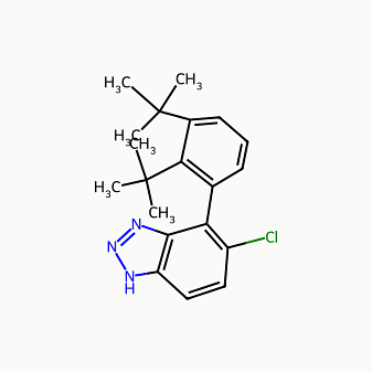 CC(C)(C)c1cccc(-c2c(Cl)ccc3[nH]nnc23)c1C(C)(C)C